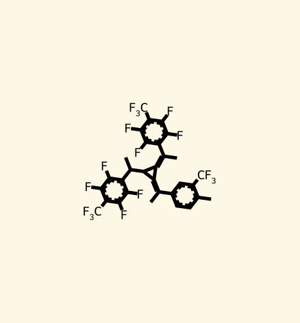 C/C(=C1/C(=C(\C)c2c(F)c(F)c(C(F)(F)F)c(F)c2F)C1C(C)c1c(F)c(F)c(C(F)(F)F)c(F)c1F)c1ccc(C)c(C(F)(F)F)c1